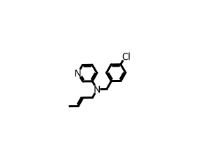 C/C=C/CN(Cc1ccc(Cl)cc1)c1cccnc1